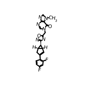 Cn1cnc2ncn(Cc3nc([C@H]4[C@@H]5C=C(c6ccc(F)cc6F)C[C@@H]54)no3)c(=O)c21